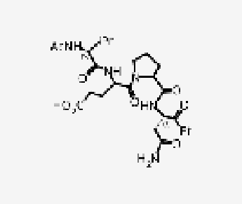 CCC(=O)[C@H](CC(N)=O)NC(=O)C1CCCN1C(=O)C(CCC(=O)O)NC(=O)[C@@H](NC(C)=O)C(C)C